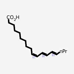 CCC/C=C/C=C/C=C\CCCCCCCCC(=O)O